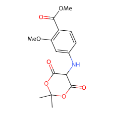 COC(=O)c1ccc(NC2C(=O)OC(C)(C)OC2=O)cc1OC